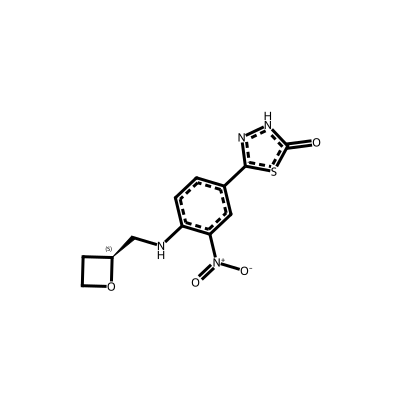 O=c1[nH]nc(-c2ccc(NC[C@@H]3CCO3)c([N+](=O)[O-])c2)s1